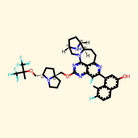 Cc1c(F)ccc2cc(O)cc(-c3nc4c5c(nc(OC[C@@]67CCCN6[C@H](COC(C)(C(F)(F)F)C(F)(F)F)CC7)nc5c3F)N3C[C@@H]5CC[C@@H](N5)[C@H]3CC4)c12